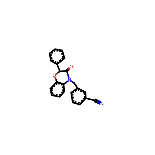 N#Cc1cccc(CN2C(=O)C(c3ccccc3)Oc3ccccc32)c1